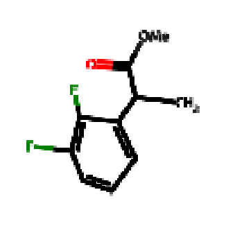 COC(=O)C(C)c1c[c]cc(F)c1F